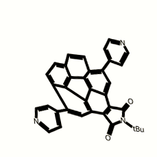 CC(C)(C)n1c(=O)c2c3cc(-c4ccncc4)c4ccc5ccc6c(-c7ccncc7)cc(c2c1=O)c1c6c5c4c31